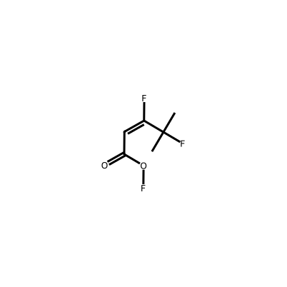 CC(C)(F)/C(F)=C\C(=O)OF